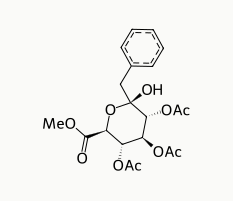 COC(=O)[C@H]1O[C@](O)(Cc2ccccc2)[C@H](OC(C)=O)[C@@H](OC(C)=O)[C@@H]1OC(C)=O